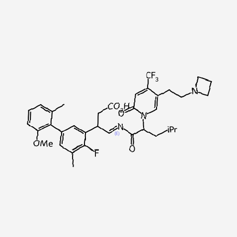 COc1cccc(C)c1-c1cc(C)c(F)c(C(/C=N/C(=O)C(CC(C)C)n2cc(CCN3CCC3)c(C(F)(F)F)cc2=O)CC(=O)O)c1